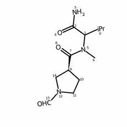 CC(C)C(C(N)=O)N(C)C(=O)[C@H]1CCN(C=O)C1